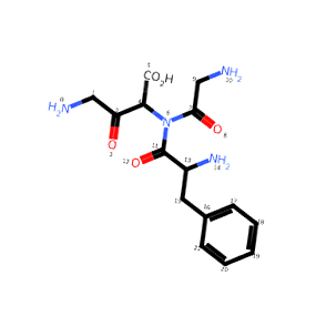 NCC(=O)C(C(=O)O)N(C(=O)CN)C(=O)C(N)Cc1ccccc1